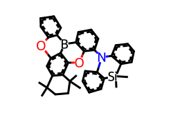 CC1(C)CCC(C)(C)c2c1cc1c3c2Oc2c(cccc2N2c4ccccc4[Si](C)(C)c4ccccc42)B3c2ccccc2O1